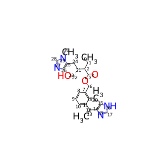 CCC(C(=O)OCc1cccc([C@H](C)c2c[nH]cn2)c1C)[C@H](CO)Cc1cncn1C